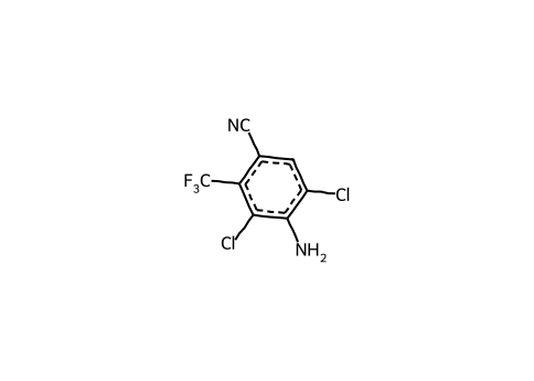 N#Cc1cc(Cl)c(N)c(Cl)c1C(F)(F)F